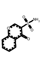 NS(=O)(=O)c1coc2ccccc2c1=O